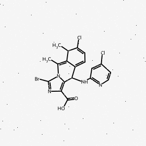 CC1=C2C(=CC=C(Cl)C2C)C(Nc2cc(Cl)ccn2)c2c(C(=O)O)nc(Br)n21